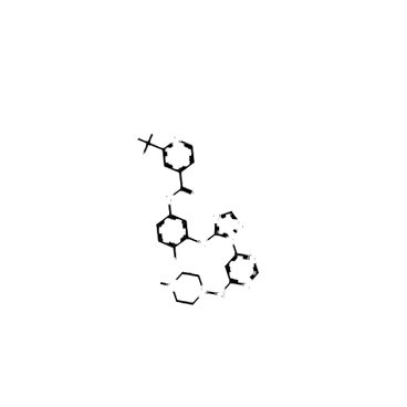 Cc1ccc(NC(=O)c2ccnc(C(C)(C)C)c2)cc1Nc1ncnn1-c1cc(NN2CCN(C)CC2)ncn1